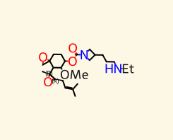 CCNCCCC1CN(C(=O)OC2CCC3(CO3)C([C@@]3(C)O[C@@H]3CC=C(C)C)C2OC)C1